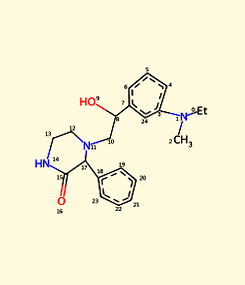 CCN(C)c1cccc(C(O)CN2CCNC(=O)C2c2ccccc2)c1